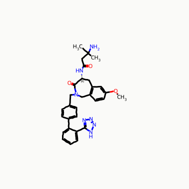 COc1ccc2c(c1)C[C@@H](NC(=O)CC(C)(C)N)C(=O)N(Cc1ccc(-c3ccccc3-c3nnn[nH]3)cc1)C2